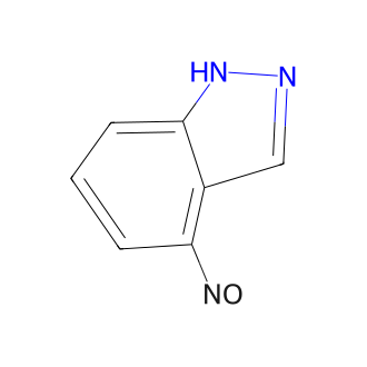 O=Nc1cccc2[nH]ncc12